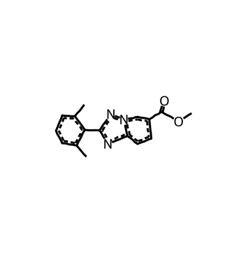 COC(=O)c1ccc2nc(-c3c(C)cccc3C)nn2c1